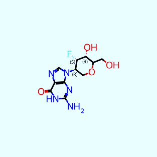 Nc1nc2c(ncn2[C@@H]2COC(CO)[C@@H](O)[C@H]2F)c(=O)[nH]1